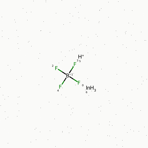 F[B-](F)(F)F.[H+].[InH3]